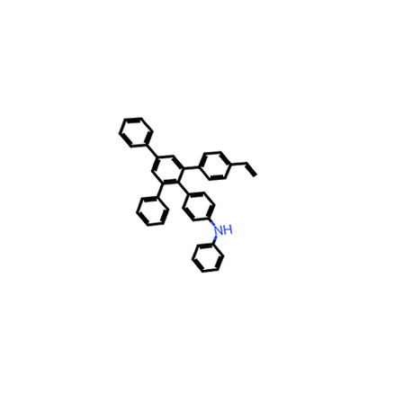 C=Cc1ccc(-c2cc(-c3ccccc3)cc(-c3ccccc3)c2-c2ccc(Nc3ccccc3)cc2)cc1